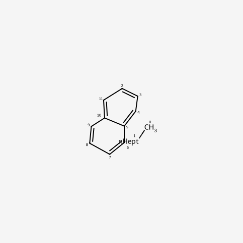 CCCCCCCC.c1ccc2ccccc2c1